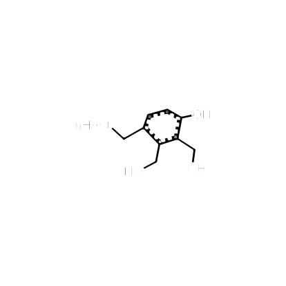 CCCCCCCCc1ccc(O)c(CO)c1CO